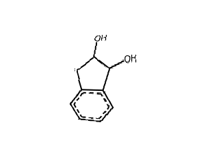 OC1[C]c2ccccc2C1O